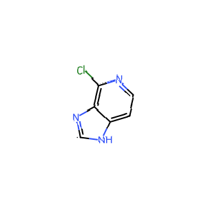 Clc1nccc2[nH][c]nc12